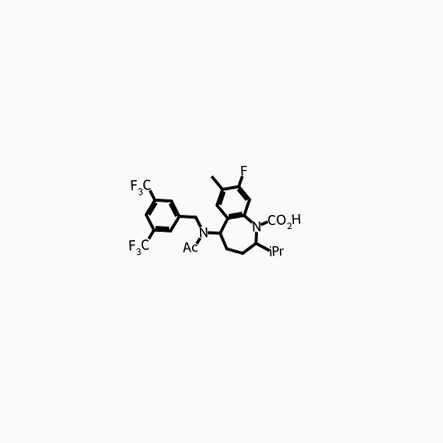 CC(=O)N(Cc1cc(C(F)(F)F)cc(C(F)(F)F)c1)C1CCC(C(C)C)N(C(=O)O)c2cc(F)c(C)cc21